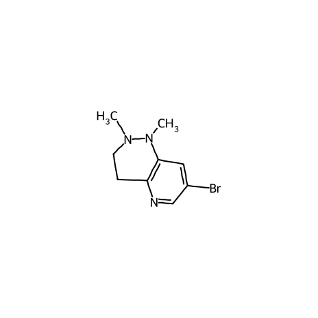 CN1CCc2ncc(Br)cc2N1C